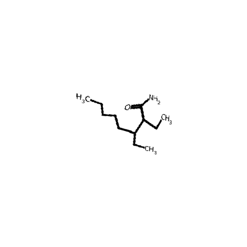 CCCCCC(CC)C(CC)C(N)=O